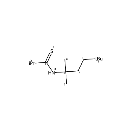 CC(C)C(=S)NC(C)(C)CCC(C)(C)C